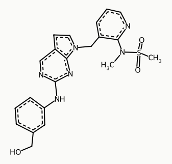 CN(c1ncccc1Cn1ccc2cnc(Nc3cccc(CO)c3)nc21)S(C)(=O)=O